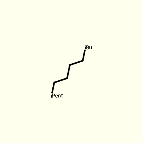 C[CH]C(C)CCCCC(C)CCC